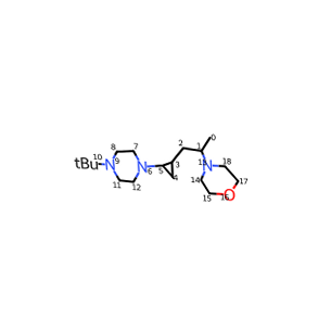 CC(CC1CC1N1CCN(C(C)(C)C)CC1)N1CCOCC1